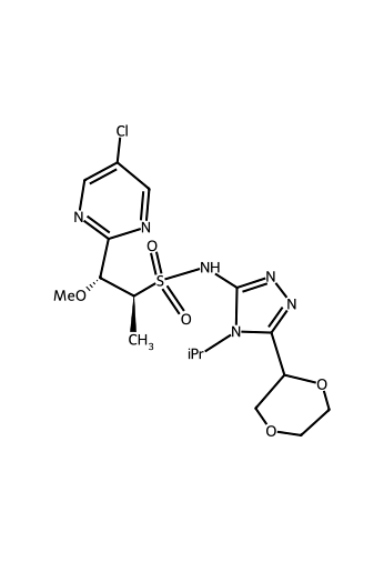 CO[C@H](c1ncc(Cl)cn1)[C@H](C)S(=O)(=O)Nc1nnc(C2COCCO2)n1C(C)C